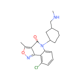 CNCC1CCCC(n2c(=O)c3c(C)onc3c3c(Cl)cccc32)C1